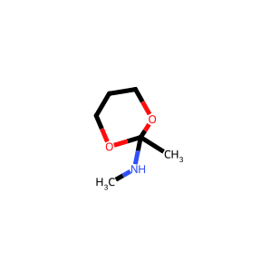 CNC1(C)OCCCO1